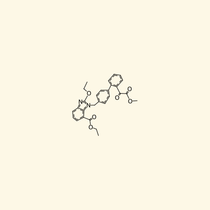 CCOC(=O)c1cccc2nc(OCC)n(Cc3ccc(-c4ccccc4C(=O)C(=O)OC)cc3)c12